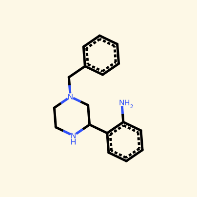 Nc1ccccc1C1CN(Cc2ccccc2)CCN1